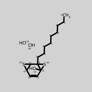 CCCCCCCCCC12SC1(O)C=CC1SC12.Cl.Cl